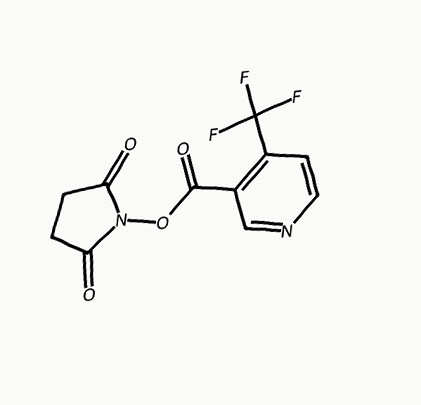 O=C(ON1C(=O)CCC1=O)c1cnccc1C(F)(F)F